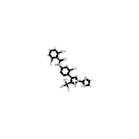 O=C(Nc1ccc(-c2cn(-c3nccs3)nc2C(F)(F)F)c(F)c1)c1c(F)cccc1F